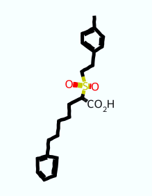 Cc1ccc(CCS(=O)(=O)C(CCCCCc2ccccc2)C(=O)O)cc1